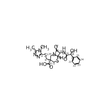 Cc1nnc(SCC2(C(=O)O)CS[C@@H]3C(NC(=O)C(O)c4ccccc4)C(=O)N3C2)n1C